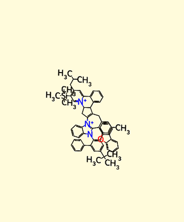 Cc1cc2c(c3oc4ccccc4c13)-c1n(-c3c(-c4ccccc4)cc(C(C)(C)C)cc3-c3ccccc3)c3ccccc3[n+]1C1=C(C2)C2c3ccccc3-c3cc(CC(C)C)c([Si](C)(C)C)c[n+]3C2C1